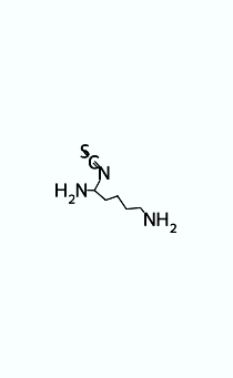 NCCCCC(N)N=C=S